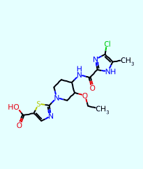 CCOC1CN(c2ncc(C(=O)O)s2)CCC1NC(=O)c1nc(Cl)c(C)[nH]1